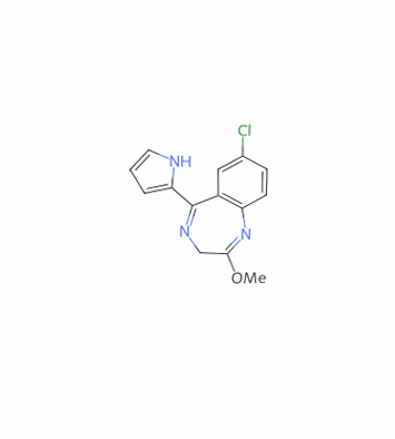 COC1=Nc2ccc(Cl)cc2C(c2ccc[nH]2)=NC1